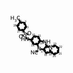 Cc1ccc(S(=O)(=O)Nc2ccc3c(c2)N(C#N)c2cc4ccccn4c2N3)cc1